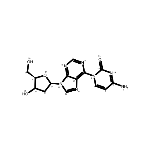 Nc1ccn(-c2ncnc3c2ncn3[C@H]2CC(O)[C@@H](CO)O2)c(=O)n1